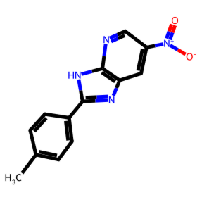 Cc1ccc(-c2nc3cc([N+](=O)[O-])cnc3[nH]2)cc1